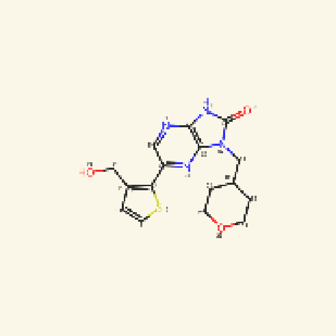 O=c1[nH]c2ncc(-c3sccc3CO)nc2n1CC1CCOCC1